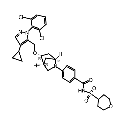 O=C(NS(=O)(=O)C1CCOCC1)c1ccc(N2C[C@@H]3C[C@H]2C[C@H]3OCc2c(C3CC3)cnn2-c2c(Cl)cccc2Cl)cc1